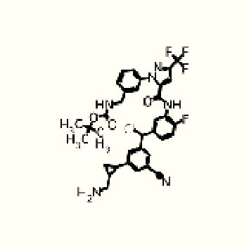 CC(C)(C)OC(=O)NCc1cccc(-n2nc(C(F)(F)F)cc2C(=O)Nc2cc(C(Cl)c3cc(C#N)cc(C4CC4CN)c3)ccc2F)c1